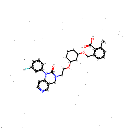 Cc1cccc(CO[C@@H]2CCC[C@H](OCCN(Cc3cccnc3)C(=O)Nc3cccc(F)c3)C2)c1C(=O)O